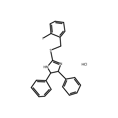 Cl.Ic1ccccc1CSC1=NC(c2ccccc2)C(c2ccccc2)N1